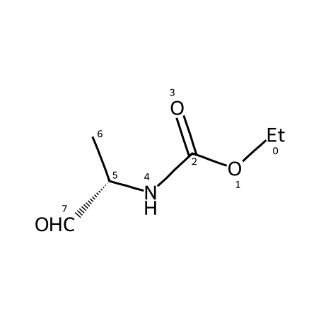 CCOC(=O)N[C@@H](C)C=O